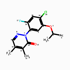 CC(=O)C(C)Oc1cc(-n2ncc(C(F)(F)F)c(C)c2=O)c(F)cc1Cl